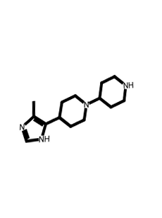 Cc1nc[nH]c1C1CCN(C2CCNCC2)CC1